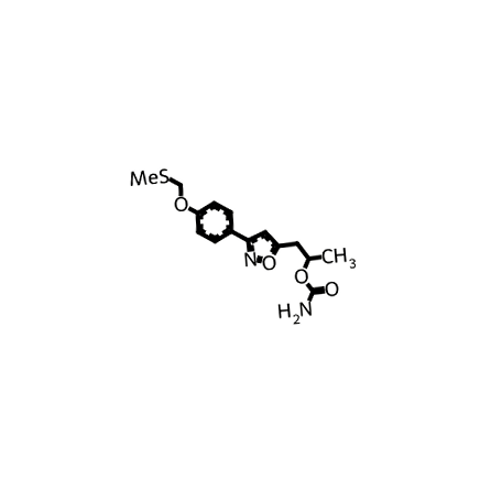 CSCOc1ccc(-c2cc(CC(C)OC(N)=O)on2)cc1